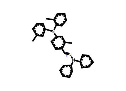 Cc1cccc(N(c2ccc(/C=N/N(c3ccccc3)c3ccccc3)c(C)c2)c2ccccc2C)c1